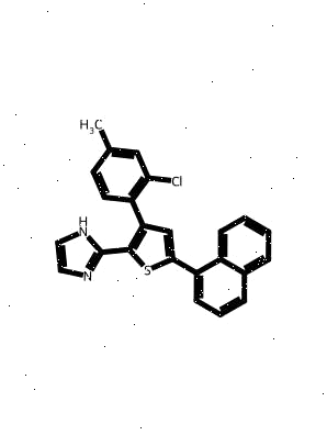 Cc1ccc(-c2cc(-c3cccc4ccccc34)sc2-c2ncc[nH]2)c(Cl)c1